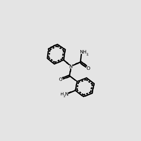 NC(=O)N(C(=O)c1ccccc1N)c1ccccc1